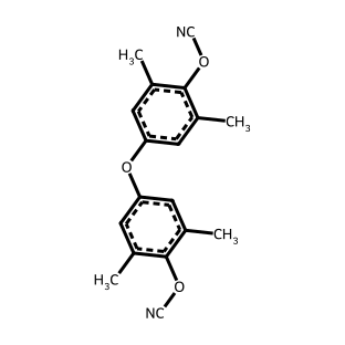 Cc1cc(Oc2cc(C)c(OC#N)c(C)c2)cc(C)c1OC#N